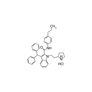 CCCc1ccc(NC(=O)c2c(C(c3ccccc3)c3ccccc3)c3ccccc3n2CCC2CCCN2)cc1.Cl